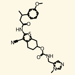 COc1cccc(C(C)CC(=O)Nc2sc3c(c2C#N)CCC(OC(=O)NCc2cncn2C)C3)c1